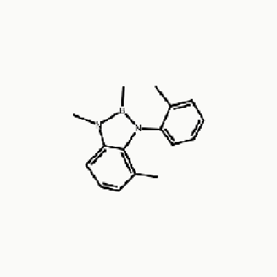 CB1N(C)c2cccc(C)c2N1c1ccccc1C